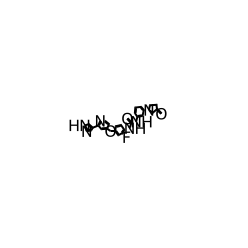 O=C1CCN(c2cccc(NC(=O)Nc3ccc(Oc4ccnc(-c5cn[nH]c5)c4)cc3F)c2)C1